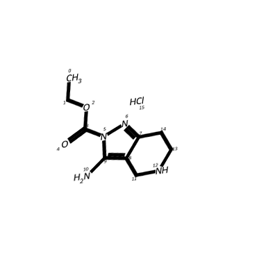 CCOC(=O)n1nc2c(c1N)CNCC2.Cl